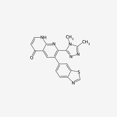 Cc1nnc(-c2nc3[nH]ccc(=O)c3cc2-c2ccc3ncsc3c2)n1C